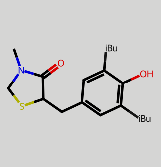 CCC(C)c1cc(CC2SCN(C)C2=O)cc(C(C)CC)c1O